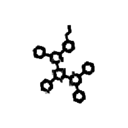 C=CCc1cccc(-c2cc(-c3ccccc3)nc(-c3nc(-c4cccnc4)nc(-c4nc(-c5ccccc5)cc(-c5ccccc5)n4)n3)n2)c1